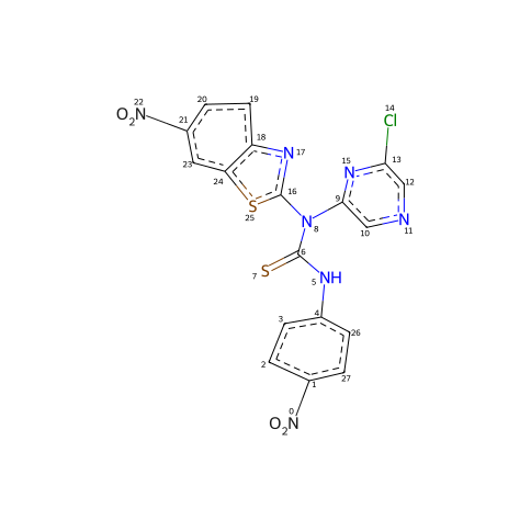 O=[N+]([O-])c1ccc(NC(=S)N(c2cncc(Cl)n2)c2nc3ccc([N+](=O)[O-])cc3s2)cc1